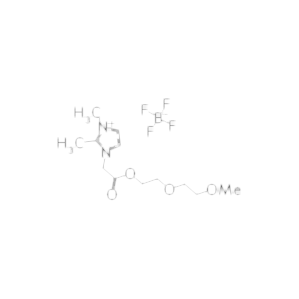 COCCOCCOC(=O)Cn1cc[n+](C)c1C.F[B-](F)(F)F